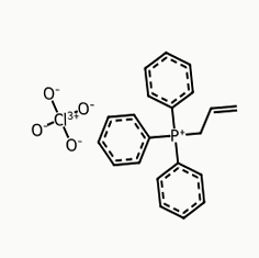 C=CC[P+](c1ccccc1)(c1ccccc1)c1ccccc1.[O-][Cl+3]([O-])([O-])[O-]